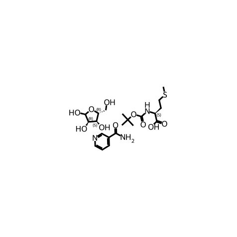 CSCC[C@H](NC(=O)OC(C)(C)C)C(=O)O.NC(=O)c1cccnc1.OC[C@H]1OC(O)[C@H](O)[C@@H]1O